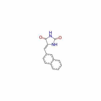 O=C1NC(=O)C(=Cc2ccc3ccccc3c2)N1